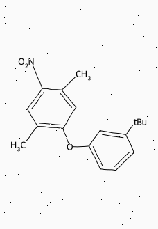 Cc1cc([N+](=O)[O-])c(C)cc1Oc1cccc(C(C)(C)C)c1